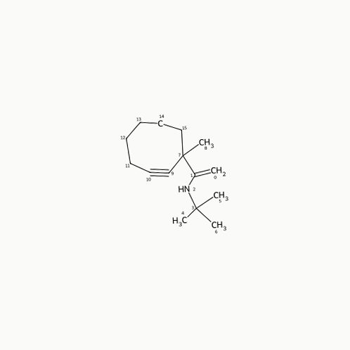 C=C(NC(C)(C)C)C1(C)C#CCCCCC1